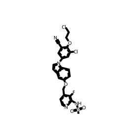 CS(=O)(=O)Nc1nccc(COc2ccc3c(ccn3-c3cc(Cl)c(OCCCl)c(C#N)c3)c2)c1F